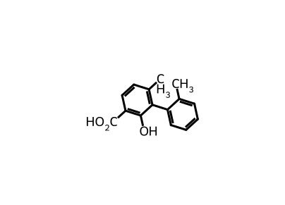 Cc1ccccc1-c1c(C)ccc(C(=O)O)c1O